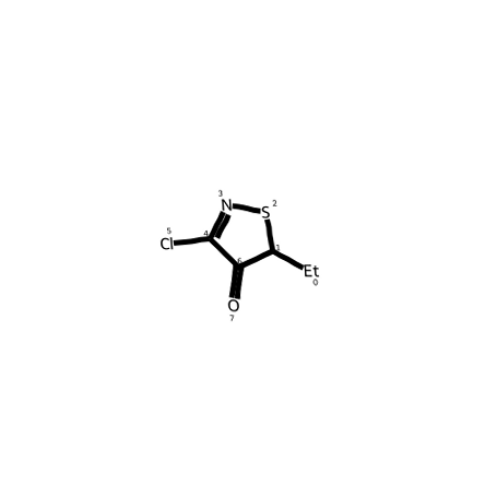 CCC1SN=C(Cl)C1=O